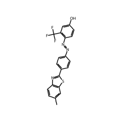 Cc1ccc2nc(-c3ccc(/N=N/c4ccc(O)cc4C(F)(F)F)cc3)sc2c1